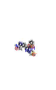 CN1C(=O)C2(CCC2)c2c1cnc1ccc(-c3cnc(N4CC[S+]([O-])CC4)c(NS(=O)(=O)c4ccccc4)c3)cc21